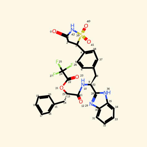 O=C1CC(c2ccc(C[C@H](NC(=O)[C@H](Cc3ccccc3)OC(=O)C(F)(F)F)c3nc4ccccc4[nH]3)cc2)S(=O)(=O)N1